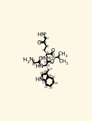 CC(C)SC(=O)[C@H](CCC(=O)C=N)NC(=O)[C@H](Cc1c[nH]c2ccccc12)NC(=O)CN